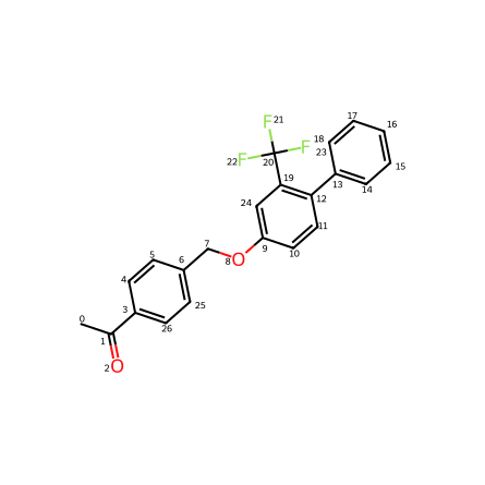 CC(=O)c1ccc(COc2ccc(-c3ccccc3)c(C(F)(F)F)c2)cc1